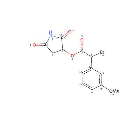 CCC(C(=O)OC1CC(=O)NC1=O)c1cccc(OC)c1